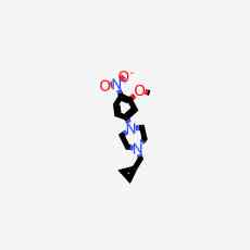 COc1cc(N2CCN(CC3CC3)CC2)ccc1[N+](=O)[O-]